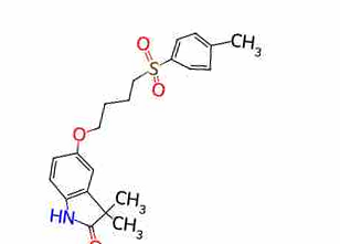 Cc1ccc(S(=O)(=O)CCCCOc2ccc3c(c2)C(C)(C)C(=O)N3)cc1